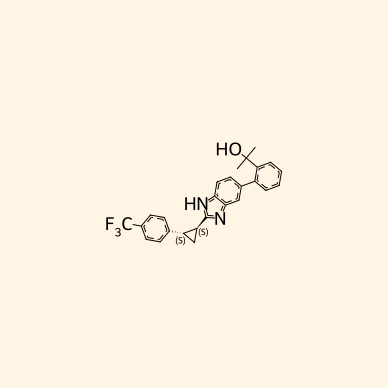 CC(C)(O)c1ccccc1-c1ccc2[nH]c([C@H]3C[C@@H]3c3ccc(C(F)(F)F)cc3)nc2c1